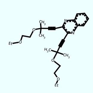 CCOCCOC(C)(C)C#Cc1nc2ccccc2nc1C#CC(C)(C)OCCOCC